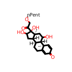 CCCCCOCC(=O)[C@@]1(O)C(O)C[C@H]2[C@@H]3CCC4=CC(=O)C=C[C@]4(C)[C@H]3C(O)C[C@@]21C